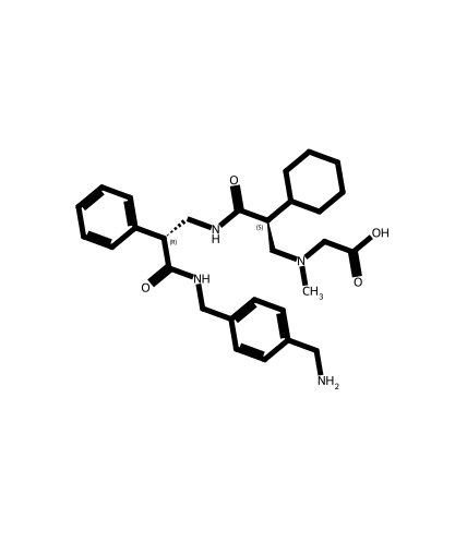 CN(CC(=O)O)C[C@@H](C(=O)NC[C@H](C(=O)NCc1ccc(CN)cc1)c1ccccc1)C1CCCCC1